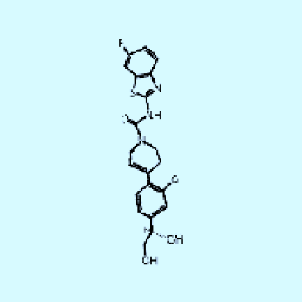 O=C(Nc1nc2ccc(F)cc2s1)N1CC=C(c2ccc([C@H](O)CO)cc2Cl)CC1